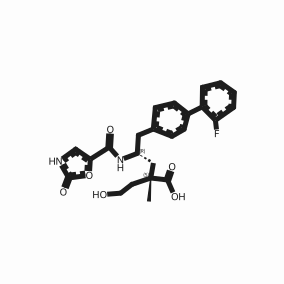 C[C@@](CCO)(C[C@@H](Cc1ccc(-c2ccccc2F)cc1)NC(=O)c1c[nH]c(=O)o1)C(=O)O